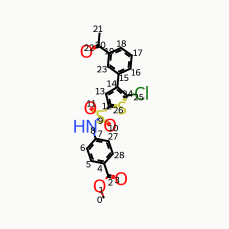 COC(=O)c1ccc(NS(=O)(=O)c2cc(-c3cccc(C(C)=O)c3)c(Cl)s2)cc1